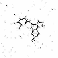 N#Cc1ccc2c(c1)nc(Oc1ccc(F)c(F)c1)c1ccsc12